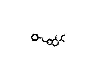 CC(CF)N1CCn2nc(COc3ccccc3)cc2C1=O